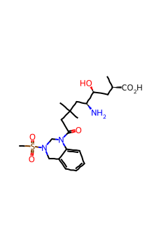 C[C@H](C[C@H](O)[C@@H](N)CC(C)(C)CC(=O)N1CN(S(C)(=O)=O)Cc2ccccc21)C(=O)O